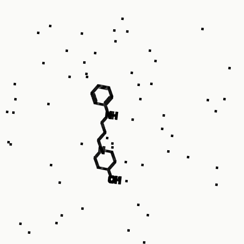 OC1CCN(CCCNc2ccccc2)CC1